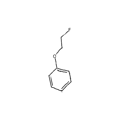 FCCOc1cc[c]cc1